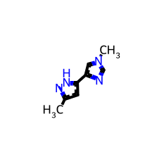 Cc1cc(-c2cn(C)cn2)[nH]n1